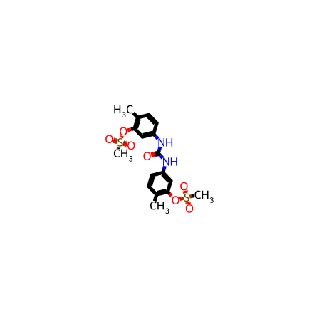 Cc1ccc(NC(=O)Nc2ccc(C)c(OS(C)(=O)=O)c2)cc1OS(C)(=O)=O